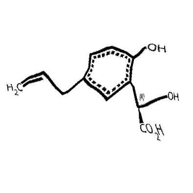 C=CCc1ccc(O)c([C@@H](O)C(=O)O)c1